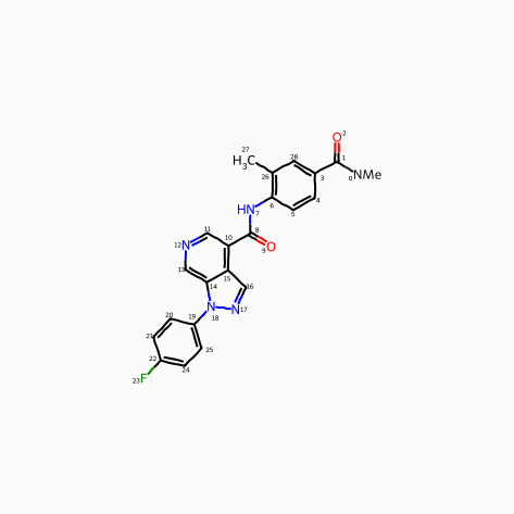 CNC(=O)c1ccc(NC(=O)c2cncc3c2cnn3-c2ccc(F)cc2)c(C)c1